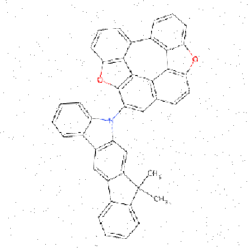 CC1(C)c2ccccc2-c2cc3c4ccccc4n(-c4cc5ccc6oc7cccc8c7c6c5c5c4oc4cccc-8c45)c3cc21